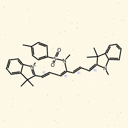 Cc1ccc(S(=O)(=O)N(C)C(=C\C=C\C2=[N+](C)c3ccccc3C2(C)C)/C=C/C=C2/N(C)c3ccccc3C2(C)C)cc1